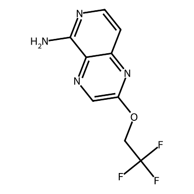 Nc1nccc2nc(OCC(F)(F)F)cnc12